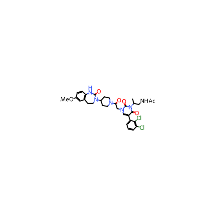 COc1ccc2c(c1)CCN(C1CCN(C(=O)Cn3cc(-c4cccc(Cl)c4Cl)c(=O)n(C(C)CNC(C)=O)c3=O)CC1)C(=O)N2